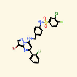 O=S(=O)(Nc1ccc(CNc2cc(-c3ccccc3Cl)nc3c(Br)cnn23)cc1)c1ccc(F)c(Cl)c1